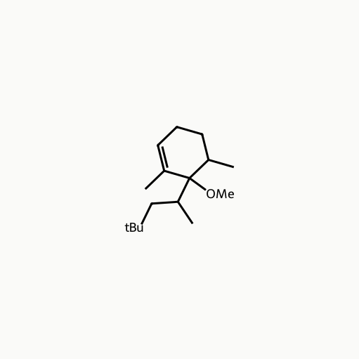 COC1(C(C)CC(C)(C)C)C(C)=CCCC1C